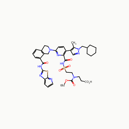 Cc1c(-c2ccc(N3CCc4cccc(C(=O)Nc5nc6cccnc6s5)c4C3)nc2C(=O)NS(=O)(=O)CCN(CCC(=O)O)C(=O)OC(C)(C)C)cnn1CC1CCCCC1